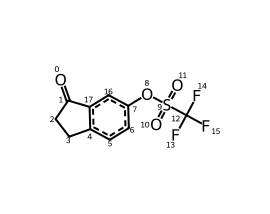 O=C1CCc2ccc(OS(=O)(=O)C(F)(F)F)cc21